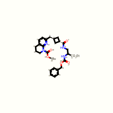 CCOC(=O)C(CNC(=O)[C@H]1C[C@H](Cc2ccc3c(n2)N(C(=O)OC(C)(C)C)CCC3)C1)NC(=O)OCc1ccccc1